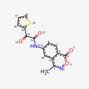 Cc1noc(=O)c2ccc(NC(=O)C(=O)c3cccs3)cc12